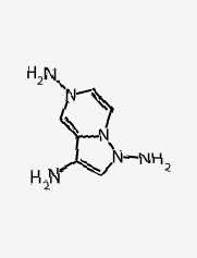 NC1=CN(N)N2C=CN(N)C=C12